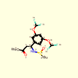 COC(=O)C[C@H](N[S+]([O-])C(C)(C)C)c1cc(OC(F)F)cc(OC(F)F)c1